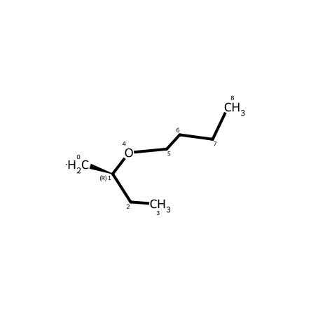 [CH2][C@H](CC)OCCCC